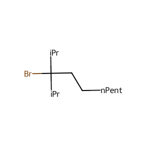 CCCCCCCC(Br)(C(C)C)C(C)C